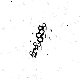 CC12CCC3C(CCC4CC(OC(=O)NCc5nnco5)CCC43C)C1CCC2=O